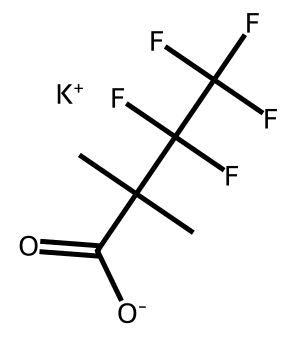 CC(C)(C(=O)[O-])C(F)(F)C(F)(F)F.[K+]